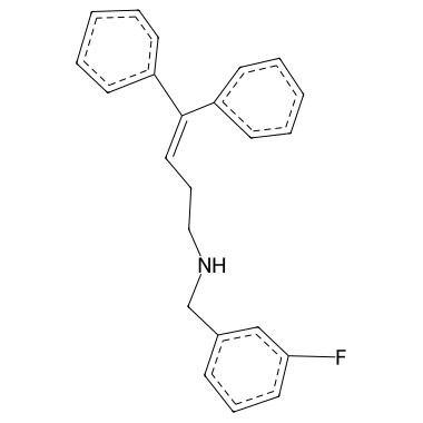 Fc1cccc(CNCCC=C(c2ccccc2)c2ccccc2)c1